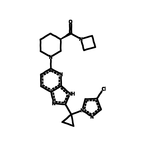 O=C([C@@H]1CCCN(c2ccc3nc(C4(n5cc(Cl)cn5)CC4)[nH]c3n2)C1)N1CCC1